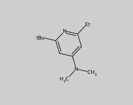 CCc1cc(N(C)C)cc(C(C)(C)C)n1